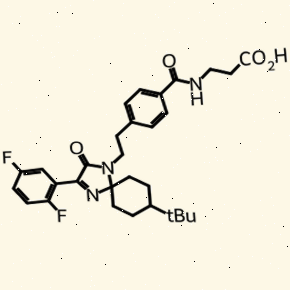 CC(C)(C)C1CCC2(CC1)N=C(c1cc(F)ccc1F)C(=O)N2CCc1ccc(C(=O)NCCC(=O)O)cc1